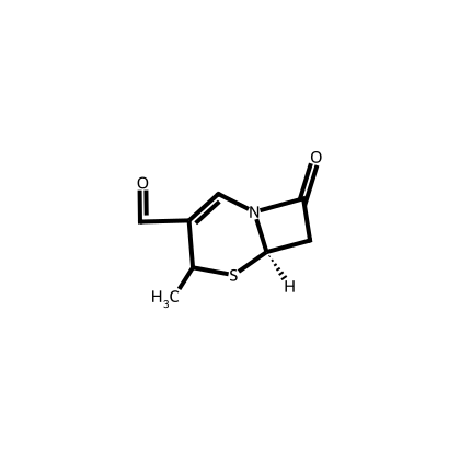 CC1S[C@@H]2CC(=O)N2C=C1C=O